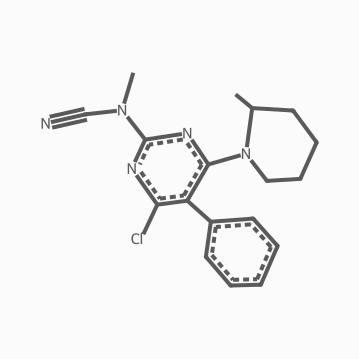 CC1CCCCN1c1nc(N(C)C#N)nc(Cl)c1-c1ccccc1